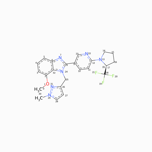 COc1cccc2nc(-c3ccc(N4CCC[C@H]4C(F)(F)F)nc3)n(Cc3ccn(C)n3)c12